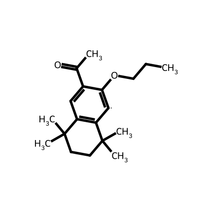 CCCOc1[c]c2c(cc1C(C)=O)C(C)(C)CCC2(C)C